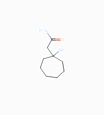 NC(=O)CC1(N)CCCCCC1